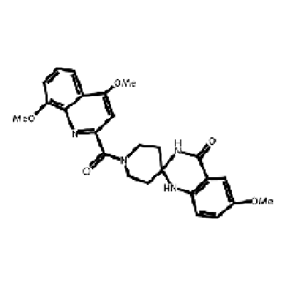 COc1ccc2c(c1)C(=O)NC1(CCN(C(=O)c3cc(OC)c4cccc(OC)c4n3)CC1)N2